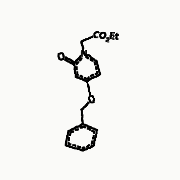 CCOC(=O)Cn1ccc(OCc2ccccc2)cc1=O